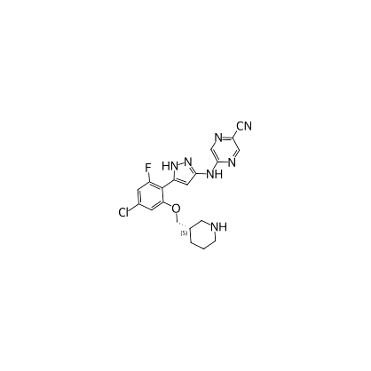 N#Cc1cnc(Nc2cc(-c3c(F)cc(Cl)cc3OC[C@H]3CCCNC3)[nH]n2)cn1